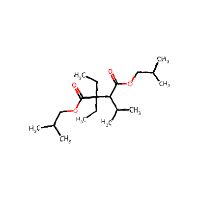 CCC(CC)(C(=O)OCC(C)C)C(C(=O)OCC(C)C)C(C)C